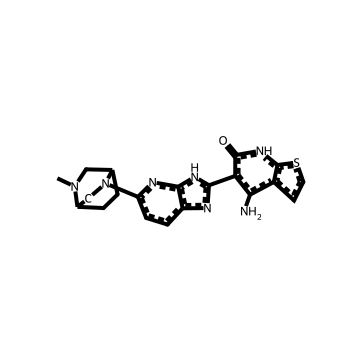 CN1CC2CCC1CN2c1ccc2nc(-c3c(N)c4ccsc4[nH]c3=O)[nH]c2n1